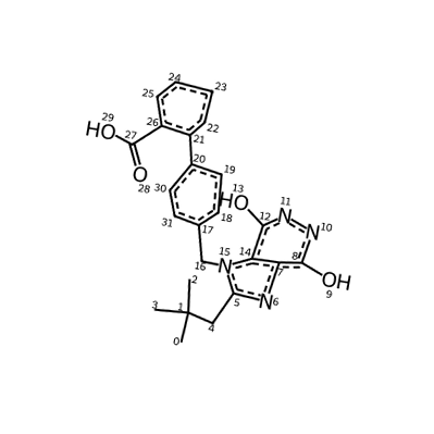 CC(C)(C)Cc1nc2c(O)nnc(O)c2n1Cc1ccc(-c2ccccc2C(=O)O)cc1